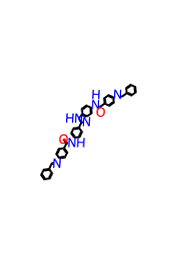 O=C(Nc1ccc(-c2nc3cc(NC(=O)c4ccc(N=Cc5ccccc5)cc4)ccc3[nH]2)cc1)c1ccc(N=Cc2ccccc2)cc1